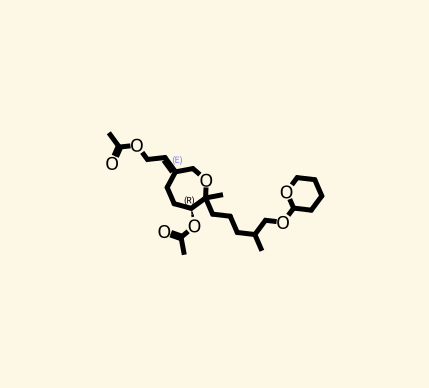 CC(=O)OC/C=C1\CC[C@@H](OC(C)=O)C(C)(CCCC(C)COC2CCCCO2)OC1